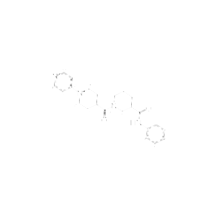 O=C(Nc1ccccc1)C1CCCN(C(=O)C2CCN(c3ccncc3)CC2)C1